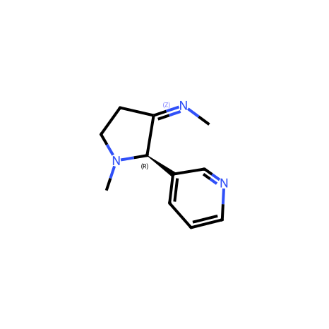 C/N=C1/CCN(C)[C@@H]1c1cccnc1